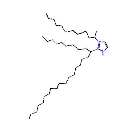 CCCCCCCCCCCCCCCCCC(CCCCCCCCC)c1[nH]cc[n+]1C(C)CCCCCCCCCC